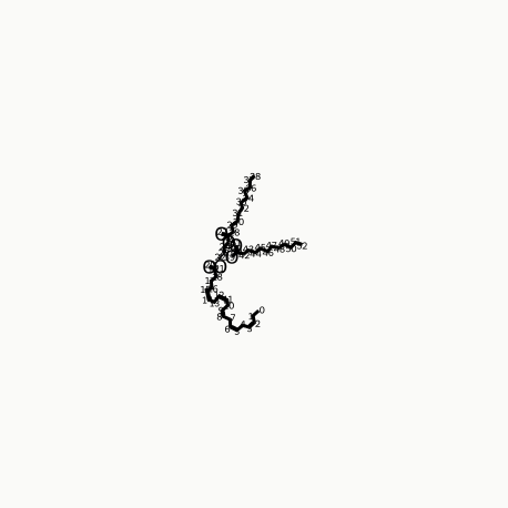 CC/C=C\C/C=C\C/C=C\C/C=C\C/C=C\CCCC(=O)OC[C@@H](COC(=O)CCCCCCCCCCC)OC(=O)CCCCCCCCCCC